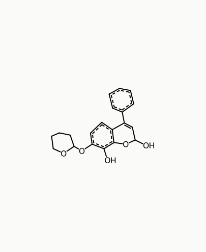 Oc1c(OC2CCCCO2)ccc2c1OC(O)C=C2c1ccccc1